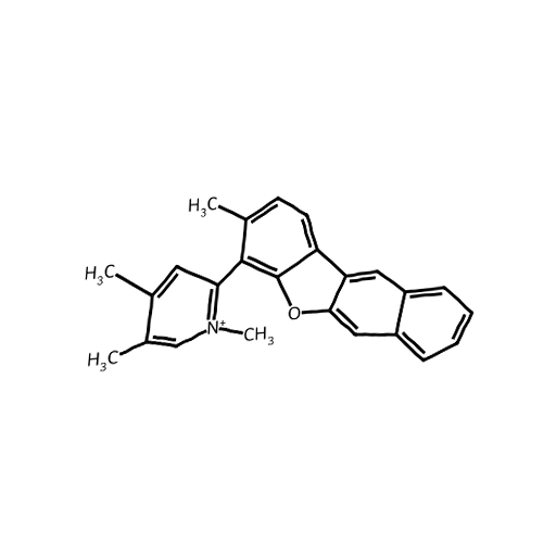 Cc1cc(-c2c(C)ccc3c2oc2cc4ccccc4cc23)[n+](C)cc1C